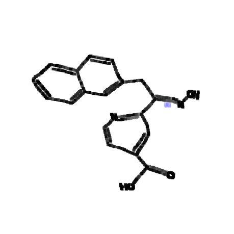 O=C(O)c1ccnc(/C(Cc2ccc3ccccc3c2)=N/O)c1